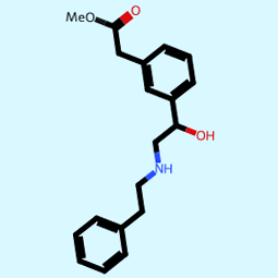 COC(=O)Cc1cccc(C(O)CNCCc2ccccc2)c1